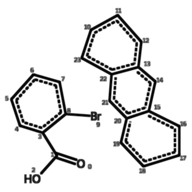 O=C(O)c1ccccc1Br.c1ccc2cc3ccccc3cc2c1